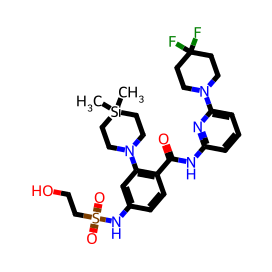 C[Si]1(C)CCN(c2cc(NS(=O)(=O)CCO)ccc2C(=O)Nc2cccc(N3CCC(F)(F)CC3)n2)CC1